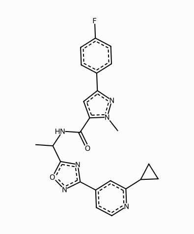 CC(NC(=O)c1cc(-c2ccc(F)cc2)nn1C)c1nc(-c2ccnc(C3CC3)c2)no1